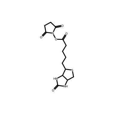 O=C1NC2CSC(CCCCC(=O)ON3C(=O)CCC3=O)C2N1